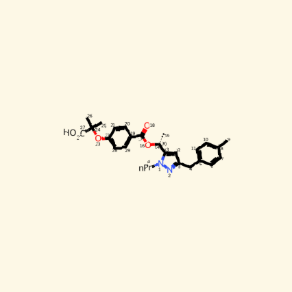 CCCn1nc(Cc2ccc(C)cc2)cc1[C@@H](C)OC(=O)c1ccc(OC(C)(C)C(=O)O)cc1